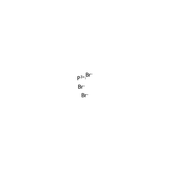 [Br-].[Br-].[Br-].[P+3]